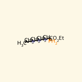 CCOC(=O)C(P)C/C=C(\C)CC/C=C(\C)CC/C=C(\C)CCC=C(C)C